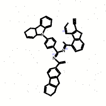 C#CC1=C(/C=C\C)c2c(cccc2/C(C)=N/C(=N\C(=C)c2ccc3c(c2)CC2=C3C=CCC2)c2ccc(N3c4ccccc4C4CCC=CC43)cc2)C1